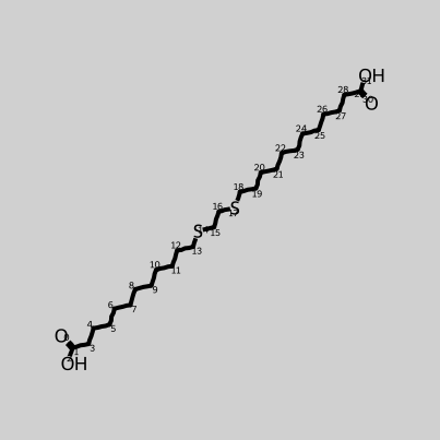 O=C(O)CCCCCCCCCCCSCCSCCCCCCCCCCCC(=O)O